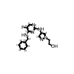 OCCn1cc(Nc2ncc(F)c(NCc3ccccc3)n2)cn1